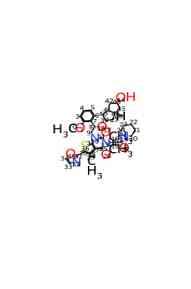 COc1ccccc1C(Cn1c(=O)n(C(C)(C)C(=O)N2CCCCC2)c(=O)c2c(C)c(-c3ncco3)sc21)O[C@H]1CC2C[C@@H](O)C[C@H]2C1